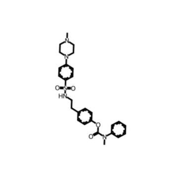 CN1CCN(c2ccc(S(=O)(=O)NCCc3ccc(OC(=O)N(C)c4ccccc4)cc3)cc2)CC1